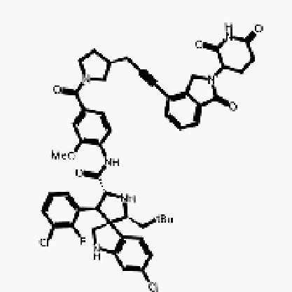 COc1cc(C(=O)N2CC[C@@H](CC#Cc3cccc4c3CN(C3CCC(=O)NC3=O)C4=O)C2)ccc1NC(=O)[C@@H]1N[C@@H](CC(C)(C)C)[C@@]2(CNc3cc(Cl)ccc32)[C@H]1c1cccc(Cl)c1F